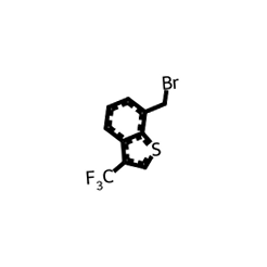 FC(F)(F)c1csc2c(CBr)cccc12